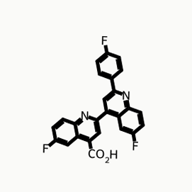 O=C(O)c1cc(-c2cc(-c3ccc(F)cc3)nc3ccc(F)cc23)nc2ccc(F)cc12